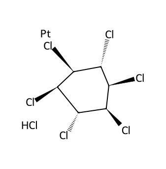 Cl.Cl[C@H]1[C@H](Cl)[C@@H](Cl)[C@@H](Cl)[C@H](Cl)[C@H]1Cl.[Pt]